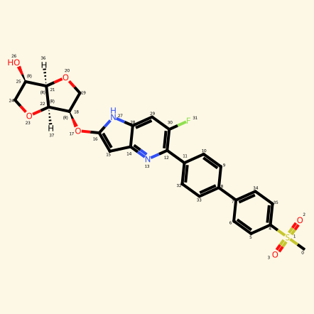 CS(=O)(=O)c1ccc(-c2ccc(-c3nc4cc(O[C@@H]5CO[C@H]6[C@@H]5OC[C@H]6O)[nH]c4cc3F)cc2)cc1